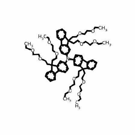 CCOCCOCCC1(CCOCCOCC)c2ccccc2-c2ccc(N(c3ccc4c(c3)C(CCOCCOCC)(CCOCCOCC)c3ccccc3-4)c3ccc4c(c3)C(CCOCCOCC)(CCOCCOCC)c3ccccc3-4)cc21